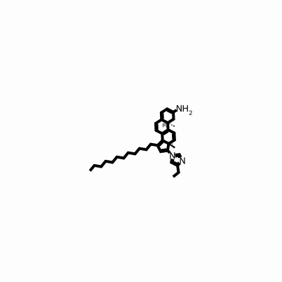 CCCCCCCCCCCCC1=C2C3=C(C=C[C@]2(C)C(n2cnc(CC)c2)=C1)[C@]1(C)CC(N)=CC=C1C=C3